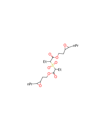 CCCC1OC1CCOC(=O)C(CC)S(=O)(=O)C(CC)C(=O)OCCC1OC1CCC